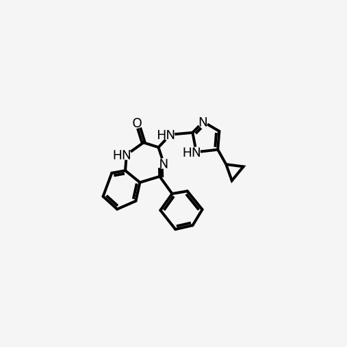 O=C1Nc2ccccc2C(c2ccccc2)=NC1Nc1ncc(C2CC2)[nH]1